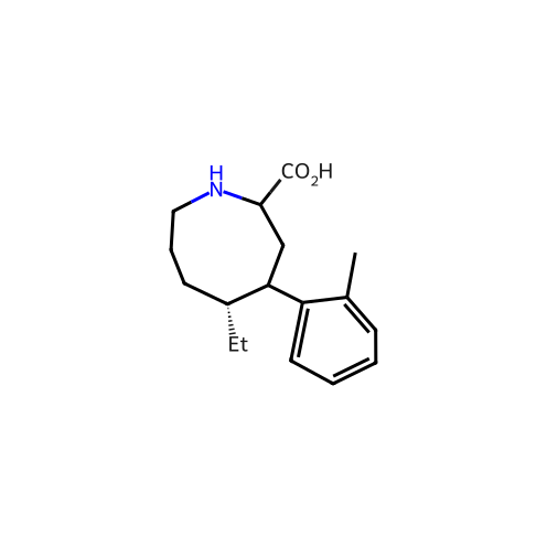 CC[C@@H]1CCCNC(C(=O)O)CC1c1ccccc1C